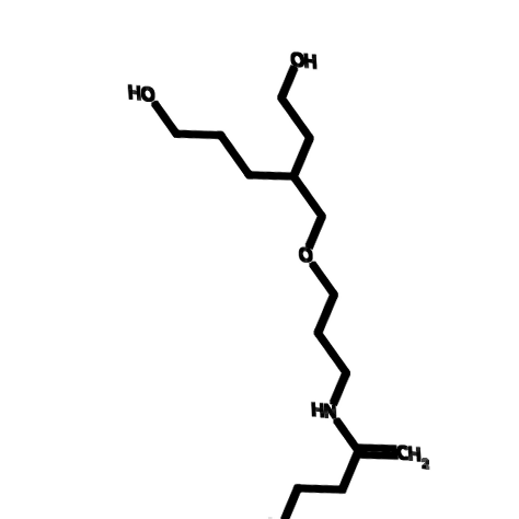 C=C(CCC(C)=O)NCCCOCC(CCO)CCCO